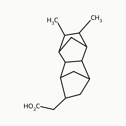 CC1C(C)C2CC1C1C3CC(CC(=O)O)C(C3)C21